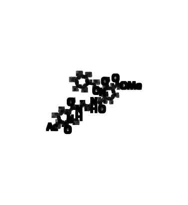 COC(=O)c1ccc(C(=O)NCCNC(=O)c2ccc(C(C)=O)c(=O)n2C)n(OCc2ccccc2)c1=O